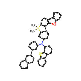 CS1(C)c2cc(N(c3cccc(-c4ccc5ccccc5c4)c3)c3cccc4c3sc3ccccc34)ccc2-c2c1ccc1c2oc2ccccc21